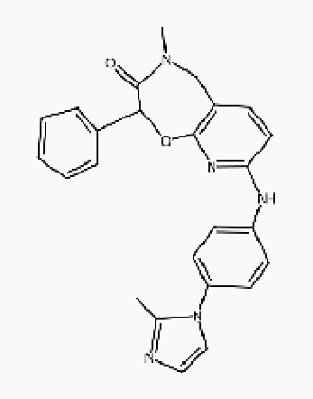 Cc1nccn1-c1ccc(Nc2ccc3c(n2)OC(c2ccccc2)C(=O)N(C)C3)cc1